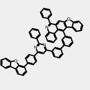 c1ccc(-c2nc(-c3ccc(-c4cccc5c4oc4ccccc45)cc3)cc(-c3cccc(-c4cccc(-c5c6c(cc7c(-c8ccccc8)nc8ccccc8c57)oc5ccccc56)c4)c3)n2)cc1